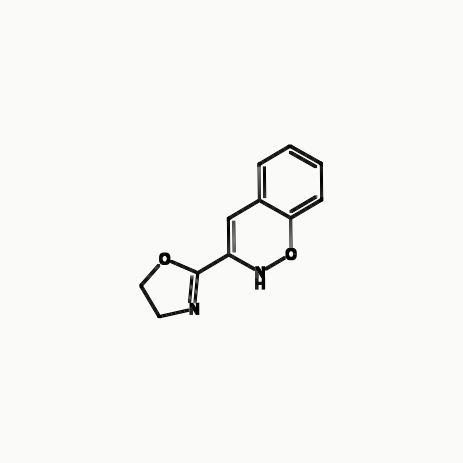 C1=C(C2=NCCO2)NOc2ccccc21